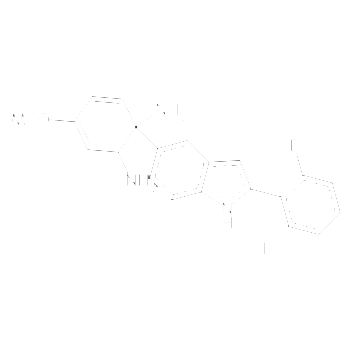 COC1=CC(N)C(N)(c2ccc3[nH]c(-c4c(F)cccc4F)cc3c2)C=C1